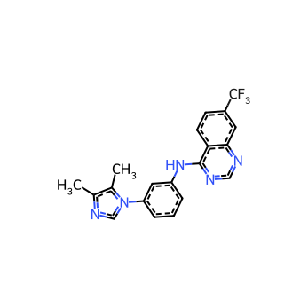 Cc1ncn(-c2cccc(Nc3ncnc4cc(C(F)(F)F)ccc34)c2)c1C